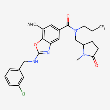 COc1cc(C(=O)N(CCC(F)(F)F)CC2CCC(=O)N2C)cc2nc(NCc3cccc(Cl)c3)oc12